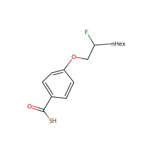 CCCCCCC(F)COc1ccc(C(=O)S)cc1